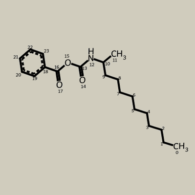 CCCCCCCCCCC(C)NC(=O)OC(=O)c1ccccc1